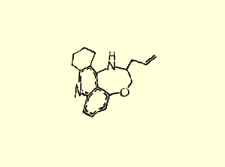 C=CCC1COc2cccc3nc4c(c(c23)N1)CCCC4